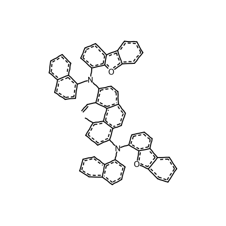 C=Cc1c(N(c2cccc3ccccc23)c2cccc3c2oc2ccccc23)ccc2ccc3c(N(c4cccc5ccccc45)c4cccc5c4oc4ccccc45)ccc(C)c3c12